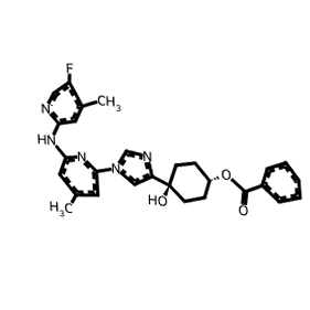 Cc1cc(Nc2cc(C)c(F)cn2)nc(-n2cnc([C@]3(O)CC[C@H](OC(=O)c4ccccc4)CC3)c2)c1